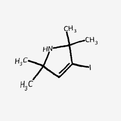 CC1(C)C=C(I)C(C)(C)N1